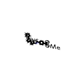 COC(=O)c1ccc(/C(C#N)=C/c2ccc(-c3ccc(N4CCCC4)s3)s2)cc1